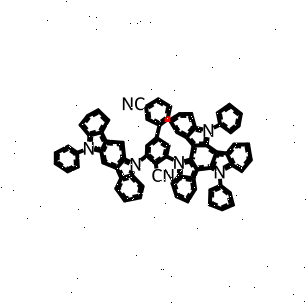 N#Cc1cccc(-c2cc(-n3c4ccccc4c4cc5c(cc43)c3ccccc3n5-c3ccccc3)c(C#N)c(-n3c4ccccc4c4c5c(c6ccccc6n5-c5ccccc5)c5c(c6ccccc6n5-c5ccccc5)c43)c2)c1